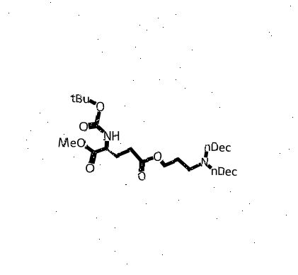 CCCCCCCCCCN(CCCCCCCCCC)CCCOC(=O)CC[C@H](NC(=O)OC(C)(C)C)C(=O)OC